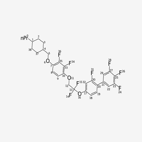 CCCC1CCC(COc2ccc(OCC(F)(F)Oc3ccc(-c4cc(F)c(F)c(F)c4)c(F)c3)c(F)c2F)CC1